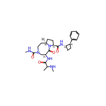 CNC(=O)N1CC[C@H]2CC[C@@H](C(=O)N[C@H]3CC[C@@H]3c3ccccc3)N2C(=O)[C@@H](NC(=O)C(C)NC)C1